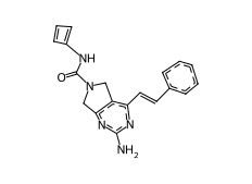 Nc1nc(C=Cc2ccccc2)c2c(n1)CN(C(=O)NC1=CC=C1)C2